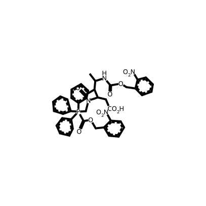 CC(NC(=O)OCc1ccccc1[N+](=O)[O-])C1C(=O)N(CP(C(=O)OCc2ccccc2[N+](=O)[O-])(c2ccccc2)(c2ccccc2)c2ccccc2)C1CC(=O)O